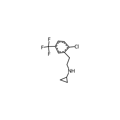 FC(F)(F)c1ccc(Cl)c(CCNC2CC2)c1